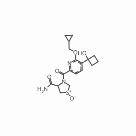 NC(=O)C1C[S+]([O-])CN1C(=O)c1ccc(C2(O)CCC2)c(OCC2CC2)n1